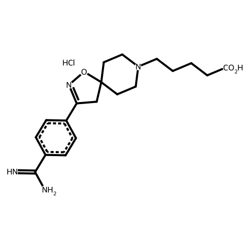 Cl.N=C(N)c1ccc(C2=NOC3(CCN(CCCCC(=O)O)CC3)C2)cc1